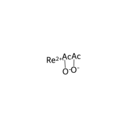 CC(=O)[O-].CC(=O)[O-].[Re+2]